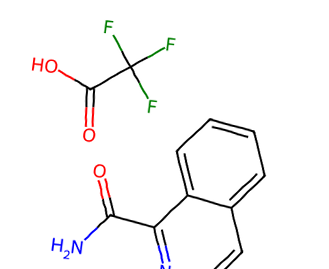 NC(=O)c1nccc2ccccc12.O=C(O)C(F)(F)F